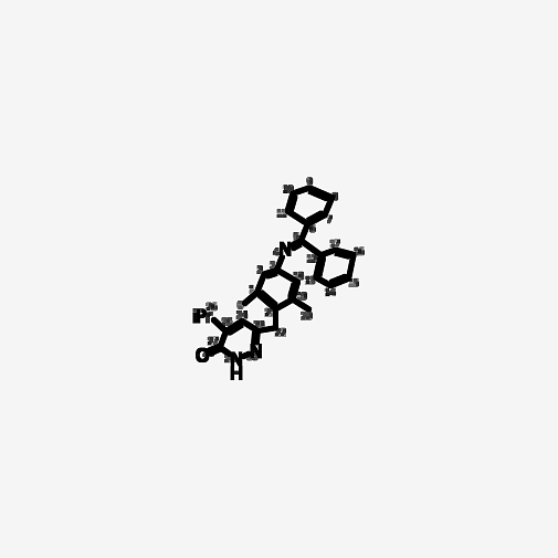 Cc1cc(N=C(c2ccccc2)c2ccccc2)cc(C)c1Cc1cc(C(C)C)c(=O)[nH]n1